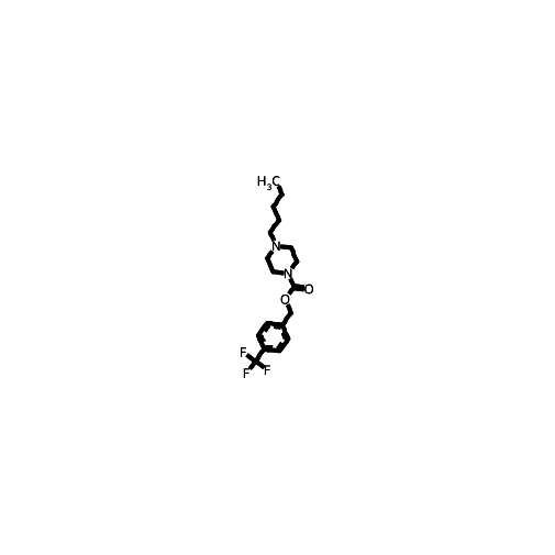 CCCCCN1CCN(C(=O)OCc2ccc(C(F)(F)F)cc2)CC1